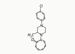 CC1CN(c2ccc(Cl)cc2)CCN1c1cccccc1=O